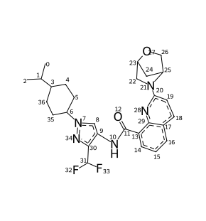 CC(C)C1CCC(n2cc(NC(=O)c3cccc4ccc(N5CC6CC5CO6)nc34)c(C(F)F)n2)CC1